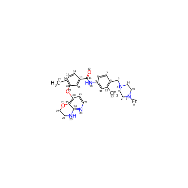 CCN1CCN(Cc2ccc(NC(=O)c3ccc(C)c(Oc4ccnc5c4OCCN5)c3)cc2C(F)(F)F)CC1